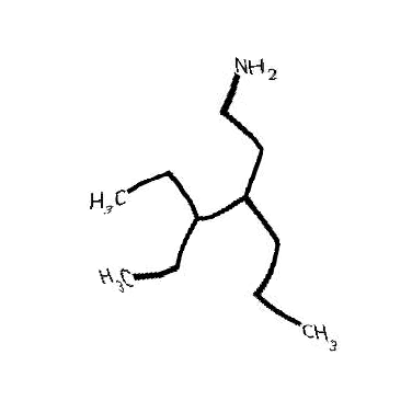 CCCC(CCN)C(CC)CC